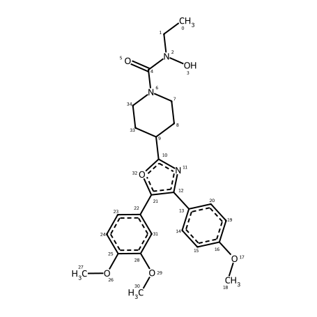 CCN(O)C(=O)N1CCC(c2nc(-c3ccc(OC)cc3)c(-c3ccc(OC)c(OC)c3)o2)CC1